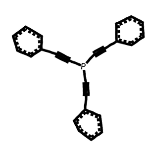 C(#CP(C#Cc1ccccc1)C#Cc1ccccc1)c1ccccc1